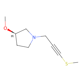 CO[C@@H]1CCN(CC#CSC)C1